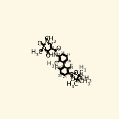 Cc1c(NC(=O)c2cn(C)c(=O)n(C)c2=O)cccc1-c1c(F)ccc(B2OC(C)(C)C(C)(C)O2)c1F